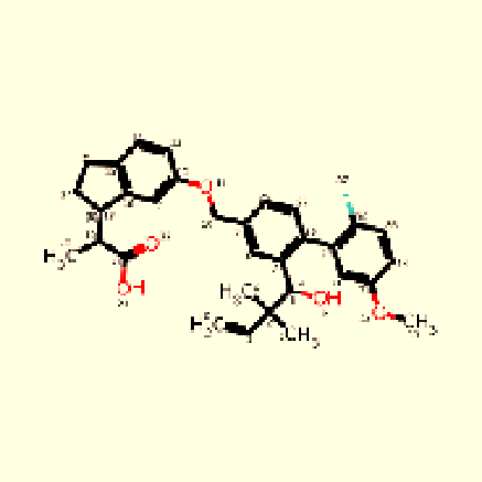 C=CC(C)(C)[C@H](O)c1cc(COc2ccc3c(c2)[C@@H](C(C)C(=O)O)CC3)ccc1-c1cc(OC)ccc1F